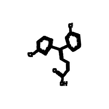 O=C(O)/C=C\C=C(c1cccc(Cl)c1)c1cccc(Cl)c1